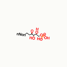 CCCCCCCCCCCC(=O)C(O)C(O)COP(=O)(O)O